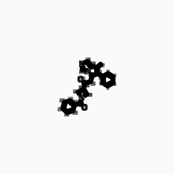 CC1=C(c2ccccc2)C(CC(=O)C2CN(C(=O)c3ccccc3)C2)n2cncc21